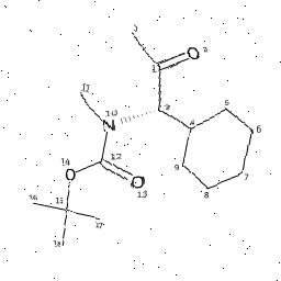 CC(=O)[C@H](C1CCCCC1)N(C)C(=O)OC(C)(C)C